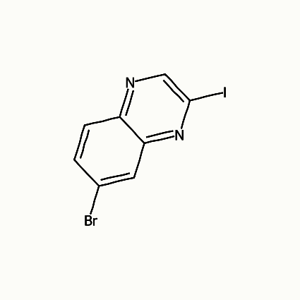 Brc1ccc2ncc(I)nc2c1